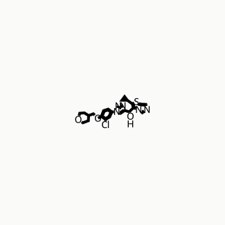 OC(c1cn(-c2ccc(OCC3CCOCC3)c(Cl)c2)nn1)c1c(C2CC2)sc2cncn12